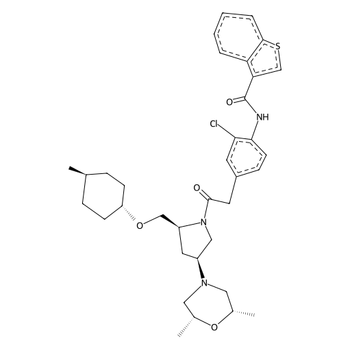 C[C@@H]1CN([C@H]2C[C@@H](CO[C@H]3CC[C@H](C)CC3)N(C(=O)Cc3ccc(NC(=O)c4csc5ccccc45)c(Cl)c3)C2)C[C@H](C)O1